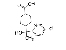 CC(O)(c1ccc(Cl)cn1)C1CCC(C(=O)O)CC1